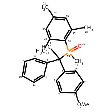 COc1ccc(C(C)(c2ccccc2)P(C)(=O)c2c(C)cc(C)cc2C)cc1